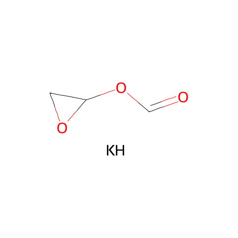 O=COC1CO1.[KH]